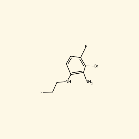 Nc1c(NCCF)ccc(F)c1Br